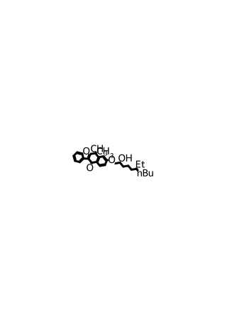 CCCCC(CC)CCC[C@@H](O)COc1ccc2c(c1)C(C)(C)c1oc3ccccc3c1C2=O